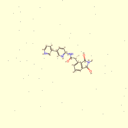 Cc1cc2c(c([C@@H](C)C(=O)Nc3ccc(-c4cccnc4)cn3)c1)C(=O)N(C)C2=O